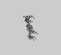 COC(=O)NC(CC/C=C/C(=O)N(C)C)C(=O)Nc1cccn(Cc2cc3ncc(Cl)c(CC(C)C)c3[nH]2)c1=O